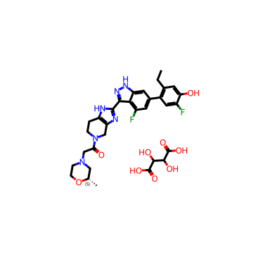 CCc1cc(O)c(F)cc1-c1cc(F)c2c(-c3nc4c([nH]3)CCN(C(=O)CN3CCO[C@@H](C)C3)C4)n[nH]c2c1.O=C(O)C(O)C(O)C(=O)O